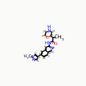 CC(C(=O)Nc1cc2cc(-c3cnn(C)c3)ccc2cn1)C1CNCCO1